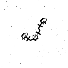 CC(C)(CCC(C)(C)n1ccc(CC(C)(C)c2ncco2)n1)c1ccon1